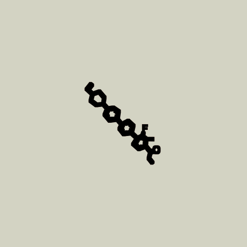 C=CC1CCC(c2ccc(-c3ccc(-c4ccc(C(=O)CC)c(C)c4F)cc3)cc2)CC1